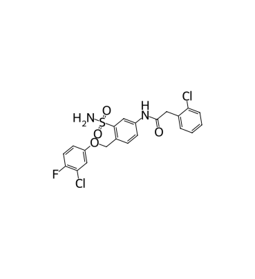 NS(=O)(=O)c1cc(NC(=O)Cc2ccccc2Cl)ccc1COc1ccc(F)c(Cl)c1